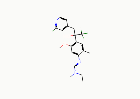 CCN(C)/C=N/c1cc(OC)c(C(O)(Cc2ccnc(F)c2)C(F)(F)F)cc1C